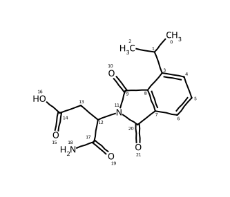 CC(C)c1cccc2c1C(=O)N(C(CC(=O)O)C(N)=O)C2=O